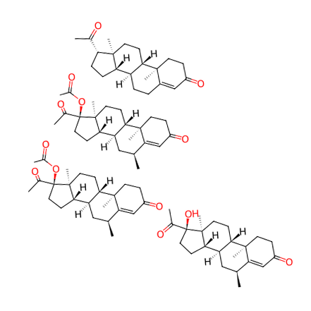 CC(=O)O[C@]1(C(C)=O)CC[C@H]2[C@@H]3C[C@H](C)C4=CC(=O)CC[C@]4(C)[C@H]3CC[C@@]21C.CC(=O)O[C@]1(C(C)=O)CC[C@H]2[C@@H]3C[C@H](C)C4=CC(=O)CC[C@]4(C)[C@H]3CC[C@@]21C.CC(=O)[C@@]1(O)CC[C@H]2[C@@H]3C[C@H](C)C4=CC(=O)CC[C@]4(C)[C@H]3CC[C@@]21C.CC(=O)[C@H]1CC[C@H]2[C@@H]3CCC4=CC(=O)CC[C@]4(C)[C@H]3CC[C@]12C